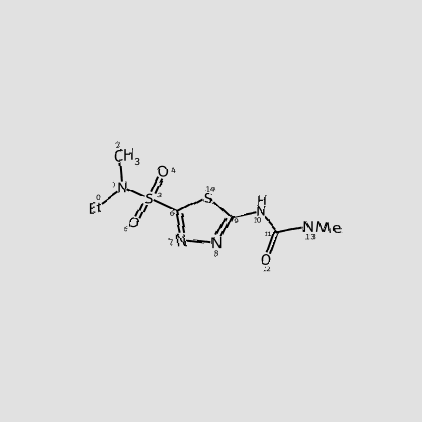 CCN(C)S(=O)(=O)c1nnc(NC(=O)NC)s1